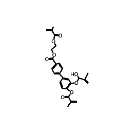 C=C(C)C(=O)OCCOC(=O)c1ccc(-c2ccc(OC(=O)C(=C)C)c(OC(O)C(=C)C)c2)cc1